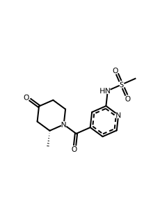 C[C@@H]1CC(=O)CCN1C(=O)c1ccnc(NS(C)(=O)=O)c1